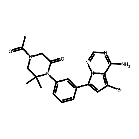 CC(=O)N1CC(=O)N(c2cccc(-c3cc(Br)c4c(N)ncnn34)c2)C(C)(C)C1